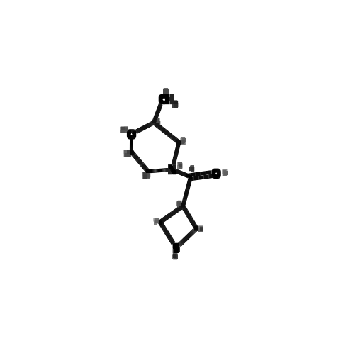 CC1CN(C(=O)C2CSC2)CCO1